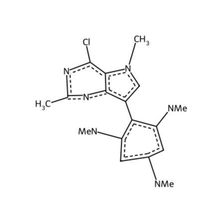 CNc1cc(NC)c(-c2cn(C)c3c(Cl)nc(C)nc23)c(NC)c1